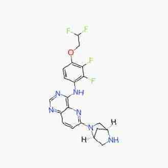 Fc1c(Nc2ncnc3ccc(N4C[C@@H]5C[C@H]4CN5)nc23)ccc(OCC(F)F)c1F